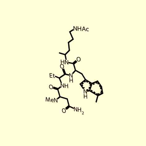 CCC(NC(=O)C(CC(N)=O)NC)C(=O)NC(Cc1c[nH]c2c(C)cccc12)C(=O)NC(C)CCCCNC(C)=O